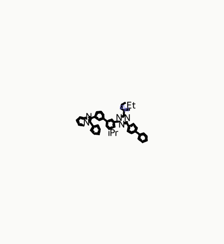 C/C=C\C(=C/CC)c1nc(-c2ccc(-c3ccccc3)cc2)nc(-c2cc(-c3cccc(-c4nc5ccccn5c4-c4ccccc4)c3)cc(C(C)C)c2)n1